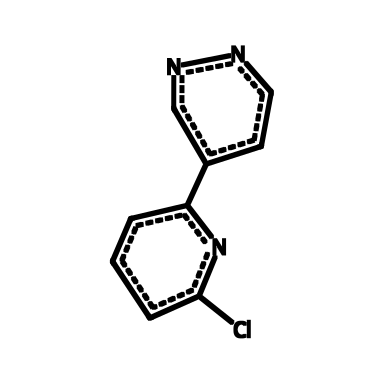 Clc1cccc(-c2ccnnc2)n1